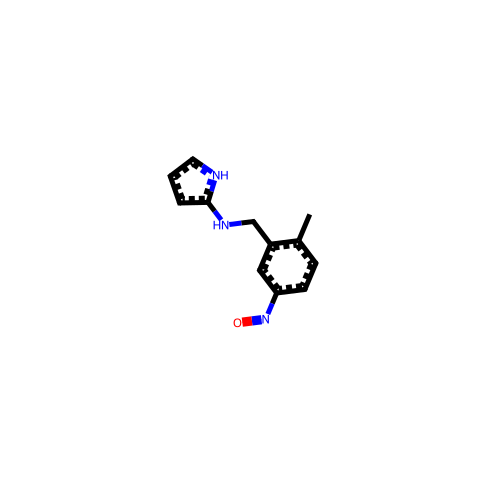 Cc1ccc(N=O)cc1CNc1ccc[nH]1